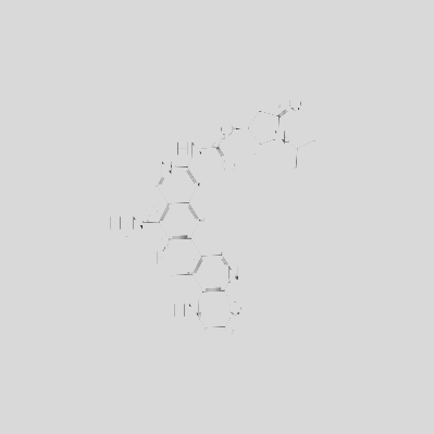 Cc1c(-c2cc3cc(NC(=O)O[C@H]4CC(=O)N(C(C)C)C4)ncc3c(N)c2F)cnc2c1NCCO2